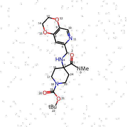 CNC(=O)C1(NCc2cc3c(cn2)OCCO3)CCN(C(=O)OC(C)(C)C)CC1